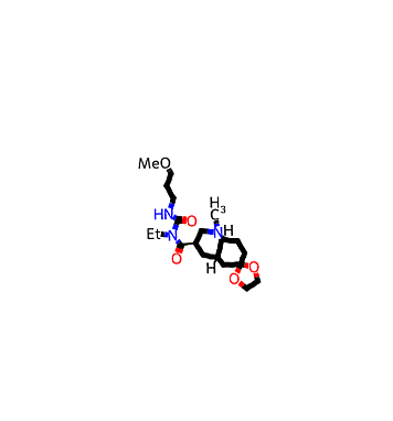 CCN(C(=O)NCCCOC)C(=O)[C@@H]1C[C@@H]2CC3(CC[C@H]2N(C)C1)OCCO3